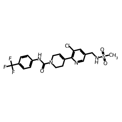 CS(=O)(=O)NCc1cnc(C2=CCN(C(=O)Nc3ccc(C(F)(F)F)cc3)CC2)c(Cl)c1